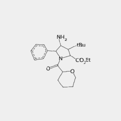 CCOC(=O)C1C(C(C)(C)C)C(N)C(c2ccccc2)N1C(=O)C1CCCCO1